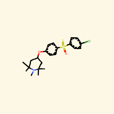 CN1C(C)(C)CC(Oc2ccc(S(=O)(=S)c3ccc(Cl)cc3)cc2)CC1(C)C